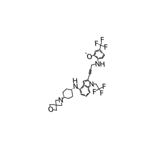 COc1cc(C(F)(F)F)ccc1NCC#Cc1cc2c(N[C@H]3CC[C@H](N4CC5(COC5)C4)CC3)cccc2n1CC(F)(F)F